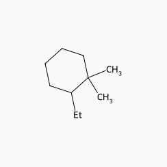 CCC1CCCCC1(C)C